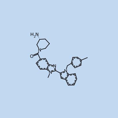 Cc1ccc(Cn2c(-c3nc4cc(C(=O)N5CCC[C@@H](N)C5)ccc4n3C)cc3ccccc32)cc1